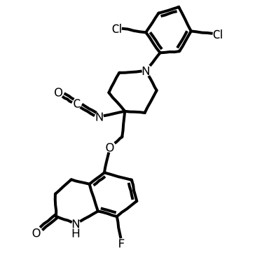 O=C=NC1(COc2ccc(F)c3c2CCC(=O)N3)CCN(c2cc(Cl)ccc2Cl)CC1